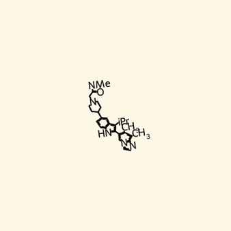 CNC(=O)CN1CCC(c2ccc3[nH]c(-c4cn5ccnc5c(C)c4C)c(C(C)C)c3c2)CC1